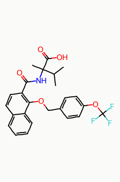 CC(C)C(C)(NC(=O)c1ccc2ccccc2c1OCc1ccc(OC(F)(F)F)cc1)C(=O)O